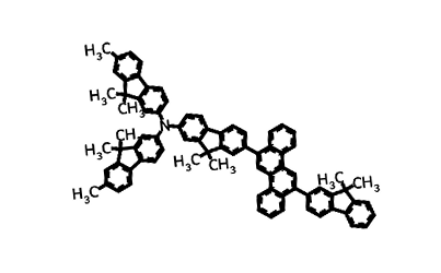 Cc1ccc2c(c1)C(C)(C)c1cc(N(c3ccc4c(c3)C(C)(C)c3cc(C)ccc3-4)c3ccc4c(c3)C(C)(C)c3cc(-c5cc6c7ccccc7c(-c7ccc8c(c7)C(C)(C)c7ccccc7-8)cc6c6ccccc56)ccc3-4)ccc1-2